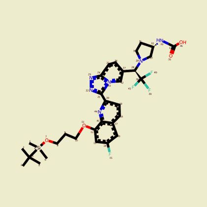 CC(C)(C)[Si](C)(C)OCCCOc1cc(F)cc2ccc(-c3nnc4ccc([C@@H](N5CC[C@H](NC(=O)O)C5)C(F)(F)F)cn34)nc12